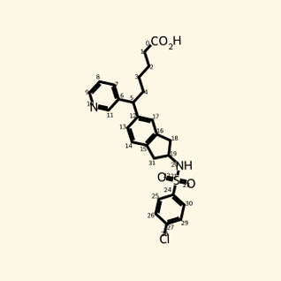 O=C(O)CCCCC(c1cccnc1)c1ccc2c(c1)CC(NS(=O)(=O)c1ccc(Cl)cc1)C2